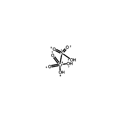 O=[S](=O)(O)[Cr](=[O])(=[O])([OH])[OH]